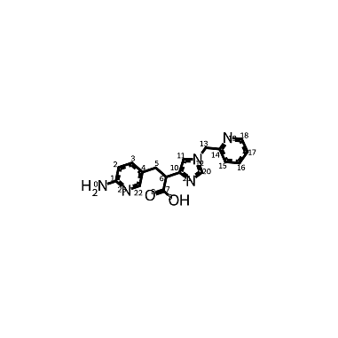 Nc1ccc(CC(C(=O)O)c2cn(Cc3ccccn3)cn2)cn1